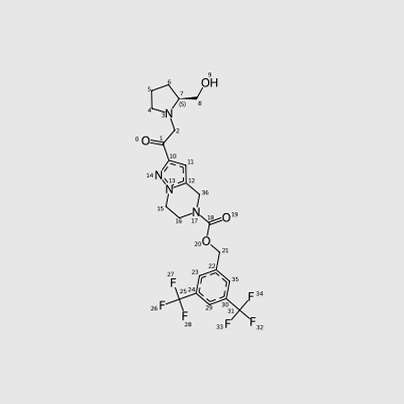 O=C(CN1CCC[C@H]1CO)c1cc2n(n1)CCN(C(=O)OCc1cc(C(F)(F)F)cc(C(F)(F)F)c1)C2